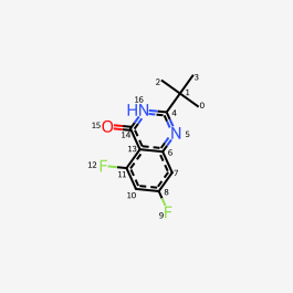 CC(C)(C)c1nc2cc(F)cc(F)c2c(=O)[nH]1